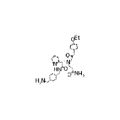 CCOc1ccc(CC(=O)CN(CCC(N)=O)C[C@H](C(=O)NCc2ccc(CN)cc2)c2ccccn2)cc1